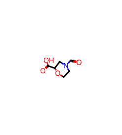 O=CN1CCOC(C(=O)O)C1